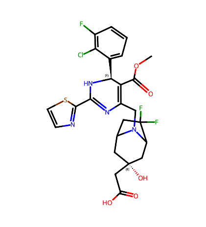 COC(=O)C1=C(CN2C3CC(F)(F)C2C[C@@](O)(CC(=O)O)C3)N=C(c2nccs2)N[C@H]1c1cccc(F)c1Cl